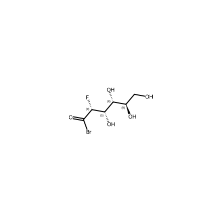 O=C(Br)[C@H](F)[C@@H](O)[C@H](O)[C@H](O)CO